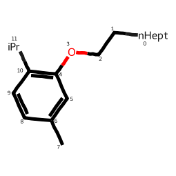 CCCCCCCCCOc1cc(C)ccc1C(C)C